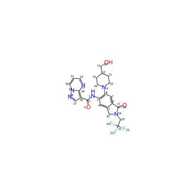 O=C(Nc1cc2c(cc1N1CCC(CO)CC1)C(=O)N(CC(F)(F)F)C2)c1cnn2cccnc12